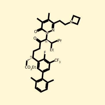 CCOC(=O)C[C@H](CCC(=O)[C@H](C(CC)C(C)C)n1nc(CCN2CCC2)c(C)c(C)c1=O)c1cc(-c2c(C)cccc2C)cc(C(F)(F)F)c1F